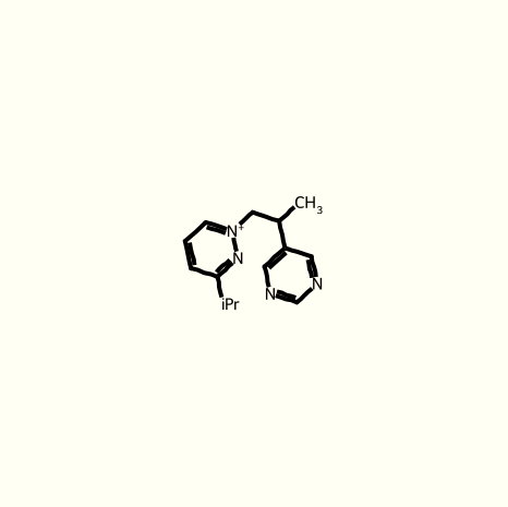 CC(C)c1ccc[n+](CC(C)c2cncnc2)n1